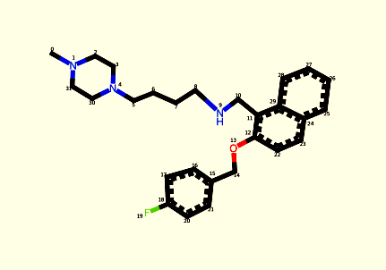 CN1CCN(CCCCNCc2c(OCc3ccc(F)cc3)ccc3ccccc23)CC1